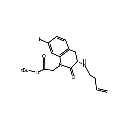 C=CCCN[C@H]1Cc2ccc(I)cc2N(CC(=O)OC(C)(C)C)C1=O